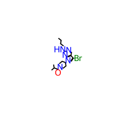 CCCCNc1ncc2c(Br)cn(C3CCN(C(=O)C(C)C)CC3)c2n1